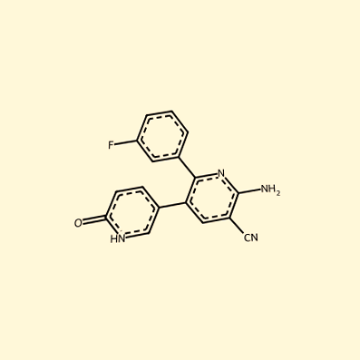 N#Cc1cc(-c2ccc(=O)[nH]c2)c(-c2cccc(F)c2)nc1N